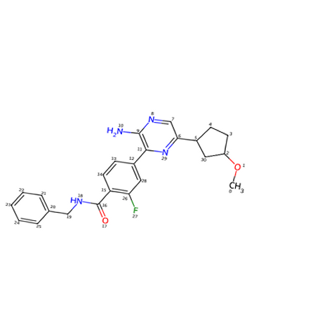 COC1CCC(c2cnc(N)c(-c3ccc(C(=O)NCc4ccccc4)c(F)c3)n2)C1